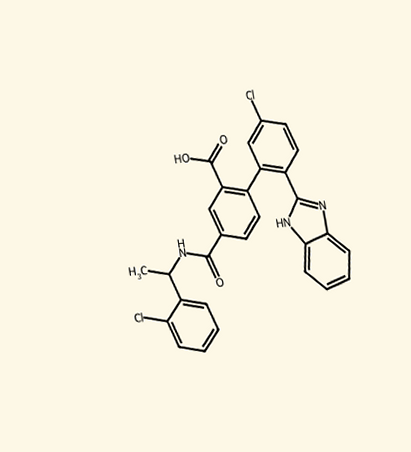 CC(NC(=O)c1ccc(-c2cc(Cl)ccc2-c2nc3ccccc3[nH]2)c(C(=O)O)c1)c1ccccc1Cl